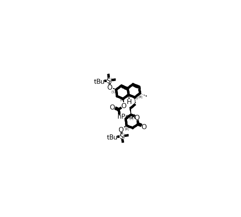 CCCCCC(=O)O[C@@H]1C[C@H](O[Si](C)(C)C(C)(C)C)C=C2C=C[C@H](C)[C@H](CC[C@@H]3C[C@@H](O[Si](C)(C)C(C)(C)C)CC(=O)O3)[C@H]21